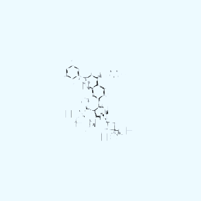 COc1cc(-c2ccccc2)nc2cc(-c3nn(C4CC(C)(O)C4)c(N)c3C(N)=O)ccc12